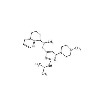 CC(C)Nc1nc(CN(C)C2CCCc3cccnc32)cc(N2CCN(C)CC2)n1